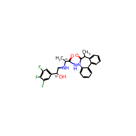 CC1C(=O)N(NC(=O)[C@H](C)NC[C@@H](O)c2cc(F)c(F)c(F)c2)c2ccccc2-c2ccccc21